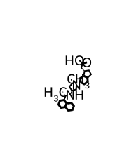 C[C@H](N[C@H]1C[C@@H](C)N(c2ccc3c(c2)[C@@H](CC(=O)O)CC3)C1)c1cccc2ccccc12